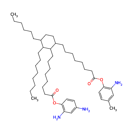 CCCCCCCCC1C(CCCCCC)CCC(CCCCCCCC(=O)Oc2ccc(C)cc2N)C1CCCCCCCC(=O)Oc1ccc(N)cc1N